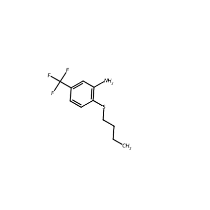 CCCCSc1ccc(C(F)(F)F)cc1N